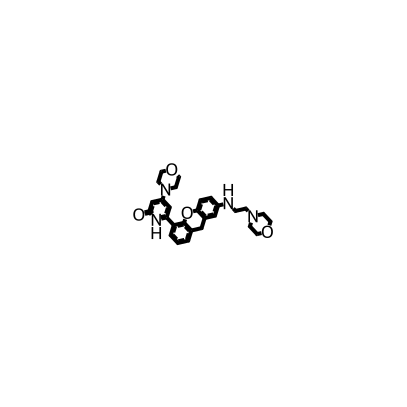 O=c1cc(N2CCOCC2)cc(-c2cccc3c2Oc2ccc(NCCN4CCOCC4)cc2C3)[nH]1